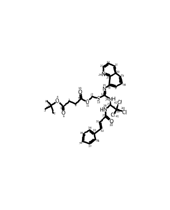 CC(C)(C)OC(=O)CCC(=O)OCS/C(=N/c1cccc2cccnc12)NC(NC(=O)/C=C/c1ccccc1)C(Cl)(Cl)Cl